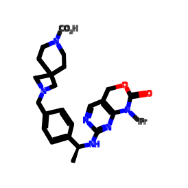 CC(C)N1C(=O)OCc2cnc(N[C@@H](C)c3ccc(CN4CC5(CCN(C(=O)O)CC5)C4)cc3)nc21